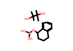 CC(C)(O)C(C)(C)O.OB(O)OC1CCCc2ccccc21